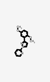 COc1ccc(OC)c(-c2ccn(-c3ccccn3)n2)c1